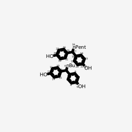 CCCCC(c1ccc(O)cc1)c1ccc(O)cc1.CCCCCC(c1ccc(O)cc1)c1ccc(O)cc1